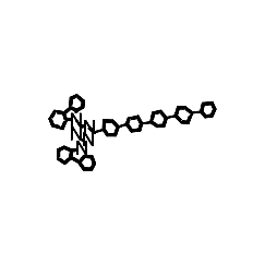 c1ccc(-c2ccc(-c3ccc(-c4ccc(-c5ccc(-c6nc(-n7c8ccccc8c8ccccc87)nc(-n7c8ccccc8c8ccccc87)n6)cc5)cc4)cc3)cc2)cc1